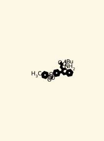 Cc1ccc(S(=O)(=O)Oc2ccc(C(Cc3ccccc3)C(CN)CC(=O)OC(C)(C)C)cc2)cc1